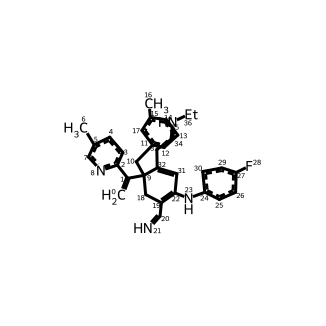 C=C(c1ccc(C)cn1)C1(Cc2cccc(C)c2)CC(C=N)=C(Nc2ccc(F)cc2)C=C1CCNCC